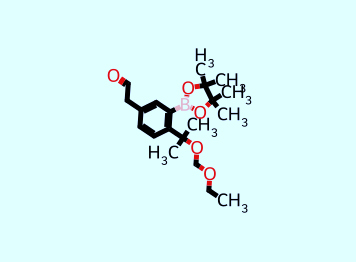 CCOCOC(C)(C)c1ccc(CC=O)cc1B1OC(C)(C)C(C)(C)O1